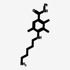 Cc1cc(C(=O)NC(C)C)c(C)c(C)c1NCCCCCN